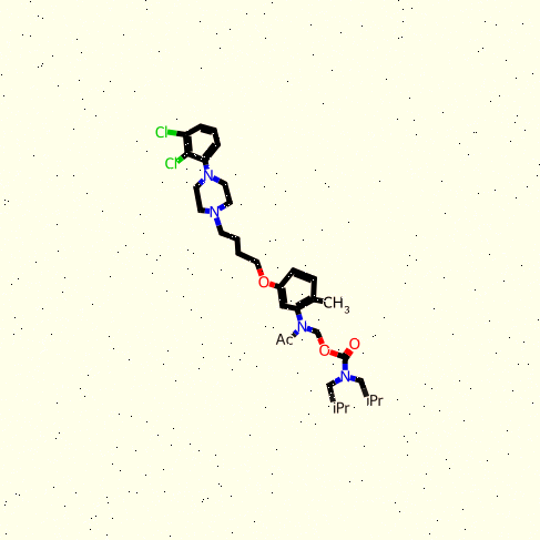 CC(=O)N(COC(=O)N(CC(C)C)CC(C)C)c1cc(OCCCCN2CCN(c3cccc(Cl)c3Cl)CC2)ccc1C